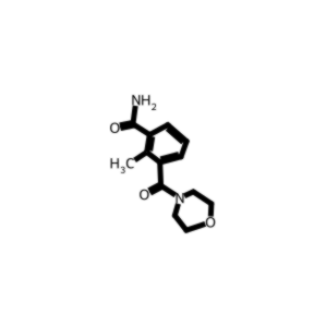 Cc1c(C(N)=O)cccc1C(=O)N1CCOCC1